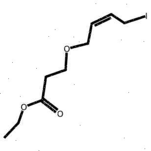 CCOC(=O)CCOC/C=C\CI